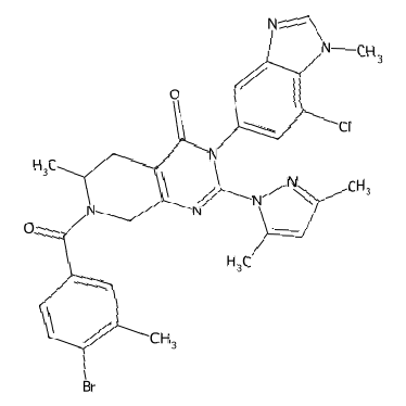 Cc1cc(C)n(-c2nc3c(c(=O)n2-c2cc(Cl)c4c(c2)ncn4C)CC(C)N(C(=O)c2ccc(Br)c(C)c2)C3)n1